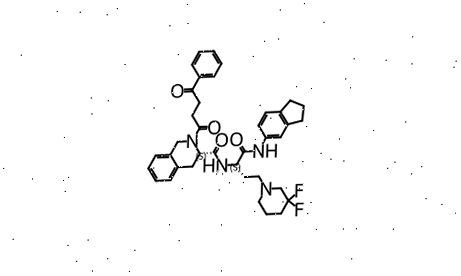 O=C(CCC(=O)N1Cc2ccccc2C[C@H]1C(=O)N[C@@H](CCN1CCCC(F)(F)C1)C(=O)Nc1ccc2c(c1)CCC2)c1ccccc1